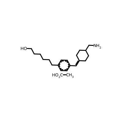 CC(=O)O.NCC1CCC(=Cc2ccc(CCCCCCO)cc2)CC1